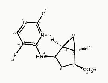 O=C(O)[C@H]1C[C@@H](Nc2nc(Cl)ncc2F)[C@H]2C[C@H]21